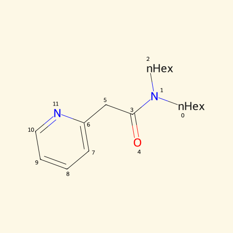 CCCCCCN(CCCCCC)C(=O)Cc1ccccn1